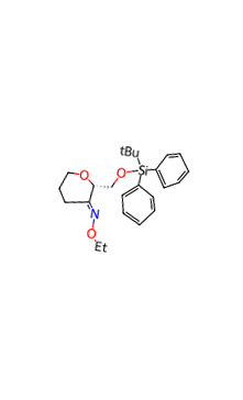 CCO/N=C1\CCCO[C@@H]1CO[Si](c1ccccc1)(c1ccccc1)C(C)(C)C